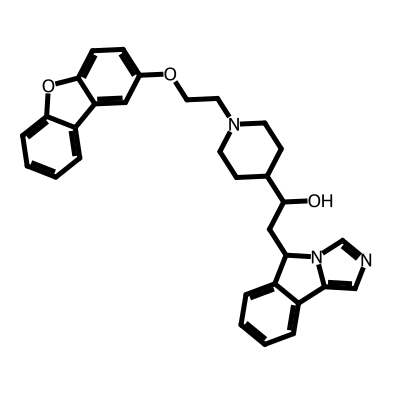 OC(CC1c2ccccc2-c2cncn21)C1CCN(CCOc2ccc3oc4ccccc4c3c2)CC1